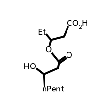 CCCCCC(O)CC(=O)OC(CC)CC(=O)O